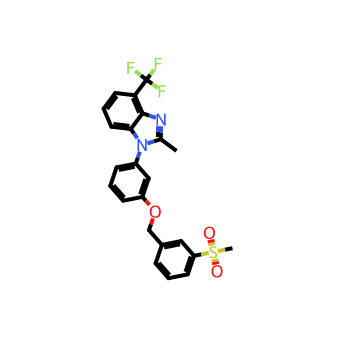 Cc1nc2c(C(F)(F)F)cccc2n1-c1cccc(OCc2cccc(S(C)(=O)=O)c2)c1